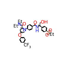 CCN(CC)C(=O)[C@@H]1C[C@@H](Oc2ccc(C(F)(F)F)cc2)CN1c1ccc(C(=O)N[C@@H](CO)c2ccc(S(=O)(=O)CC)cc2)cc1